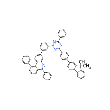 CC1(C)c2ccccc2-c2ccc(-c3ccc(-c4nc(-c5ccccc5)nc(-c5cccc(-c6ccc7c(c6)nc(-c6ccccc6)c6cccc(-c8ccccc8)c67)c5)n4)cc3)cc21